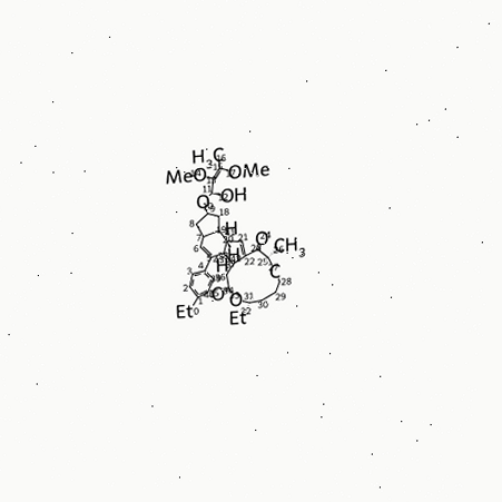 CCc1ccc(C2=CC3C[C@@H](O[C@H](O)/C(OC)=C(/C)OC)C[C@H]3[C@@H]3C=C4C(=O)[C@H](C)CCCC[C@H](CC)OC(=O)C[C@H]4C23)cc1